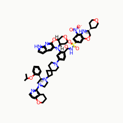 CC(C)Oc1ccccc1[C@@H]1CN(c2nccc3c2CCCO3)CCN1C1CC2(CCN(c3ccc(C(=O)NS(=O)(=O)c4cc5c(c([N+](=O)[O-])c4)N[C@H](C4CCOCC4)CO5)c(N4c5cc6cc[nH]c6nc5O[C@H]5COCC[C@@H]54)c3)CC2)C1